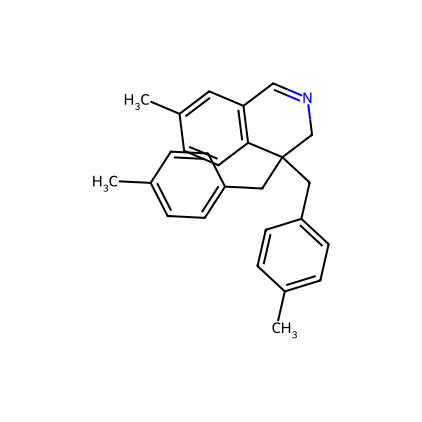 Cc1ccc(CC2(Cc3ccc(C)cc3)CN=Cc3cc(C)ccc32)cc1